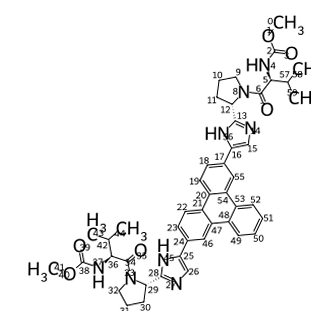 COC(=O)N[C@H](C(=O)N1CCC[C@H]1c1ncc(-c2ccc3c4ccc(-c5cnc([C@@H]6CCCN6C(=O)[C@@H](NC(=O)OC)C(C)C)[nH]5)cc4c4ccccc4c3c2)[nH]1)C(C)C